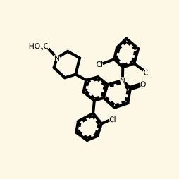 O=C(O)N1CCC(c2cc(-c3ccccc3Cl)c3ccc(=O)n(-c4c(Cl)cccc4Cl)c3c2)CC1